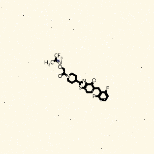 C/C(=N\OCC(=O)N1CCC(c2nc3c(s2)CCC(Cc2c(F)cccc2F)C3=O)CC1)C(F)(F)F